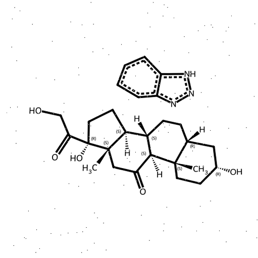 C[C@]12CC[C@@H](O)C[C@H]1CC[C@@H]1[C@@H]2C(=O)C[C@@]2(C)[C@H]1CC[C@]2(O)C(=O)CO.c1ccc2[nH]nnc2c1